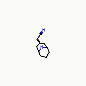 CN1C2CCCC1CC(=CC#N)C2